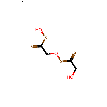 OCC(=S)SOCC(=S)SO